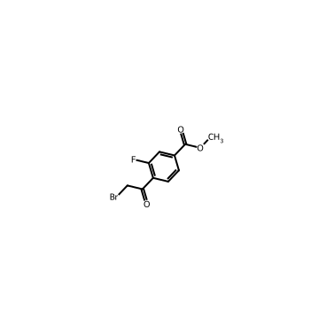 COC(=O)c1ccc(C(=O)CBr)c(F)c1